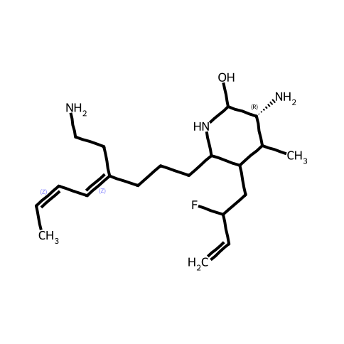 C=CC(F)CC1C(CCC/C(=C/C=C\C)CCN)NC(O)[C@H](N)C1C